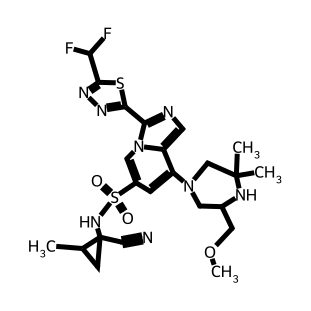 COCC1CN(c2cc(S(=O)(=O)NC3(C#N)CC3C)cn3c(-c4nnc(C(F)F)s4)ncc23)CC(C)(C)N1